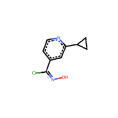 O/N=C(/Cl)c1ccnc(C2CC2)c1